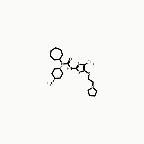 Cc1nc(NC(=O)N(C2CCCCCC2)[C@H]2CC[C@H](C)CC2)sc1SCCN1CCCC1